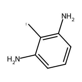 [CH]c1c(N)cccc1N